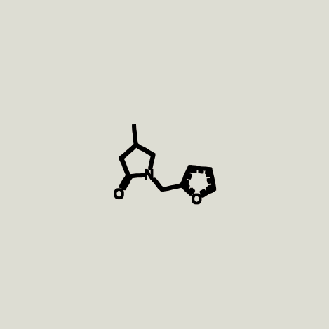 CC1CC(=O)N(Cc2ccco2)C1